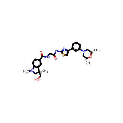 C[C@@H]1CN(c2cccc(-c3csc(NC(=O)CNC(=O)c4ccc5c(c4)[C@@](C)(CO)CN5C)n3)c2)C[C@H](C)O1